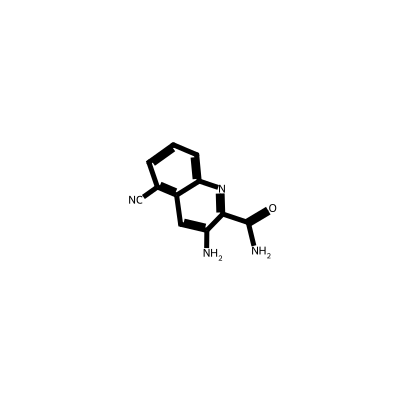 N#Cc1cccc2nc(C(N)=O)c(N)cc12